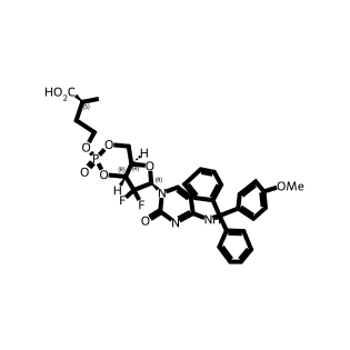 COc1ccc(C(Nc2ccn([C@@H]3O[C@@H]4COP(=O)(OCC[C@H](C)C(=O)O)O[C@H]4C3(F)F)c(=O)n2)(c2ccccc2)c2ccccc2)cc1